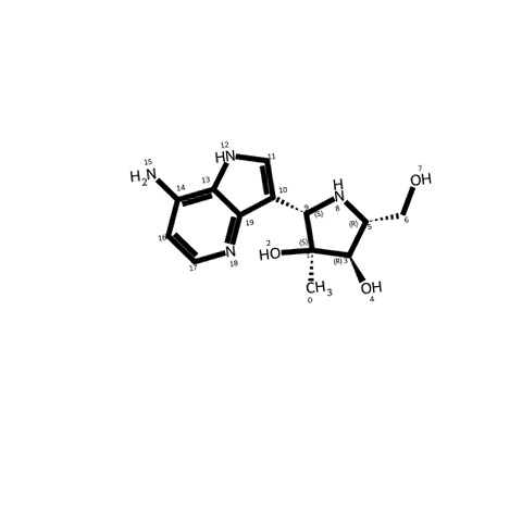 C[C@@]1(O)[C@H](O)[C@@H](CO)N[C@H]1c1c[nH]c2c(N)ccnc12